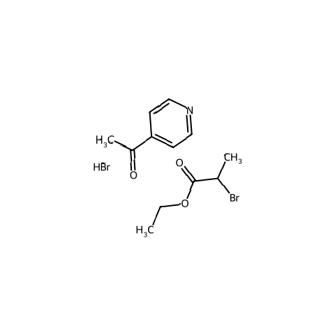 Br.CC(=O)c1ccncc1.CCOC(=O)C(C)Br